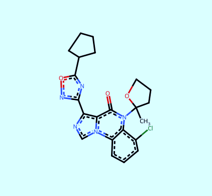 CC1(n2c(=O)c3c(-c4noc(C5CCCC5)n4)ncn3c3cccc(Cl)c32)CCCO1